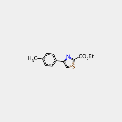 CCOC(=O)c1nc(-c2ccc(C)cc2)cs1